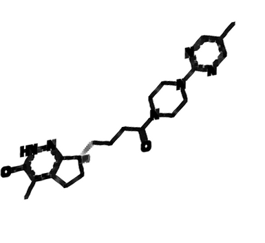 Cc1cnc(N2CCN(C(=O)CCC[C@@H]3CCc4c3n[nH]c(=O)c4C)CC2)nc1